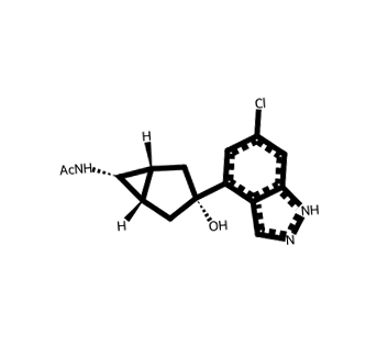 CC(=O)N[C@@H]1[C@@H]2C[C@@](O)(c3cc(Cl)cc4[nH]ncc34)C[C@@H]21